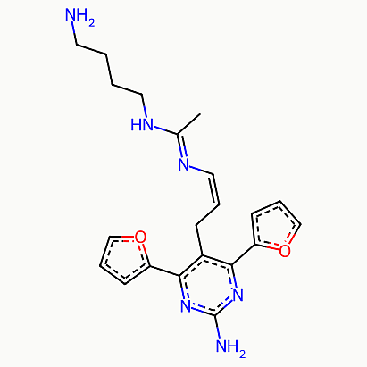 C/C(=N\C=C/Cc1c(-c2ccco2)nc(N)nc1-c1ccco1)NCCCCN